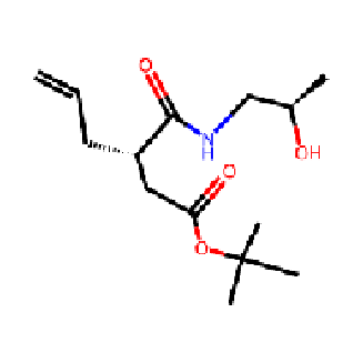 C=CC[C@@H](CC(=O)OC(C)(C)C)C(=O)NC[C@@H](C)O